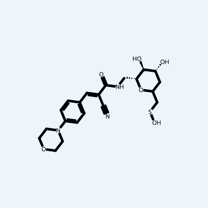 N#C/C(=C\c1ccc(N2CCOCC2)cc1)C(=O)NC[C@H]1OC(CSO)C[C@@H](O)[C@@H]1O